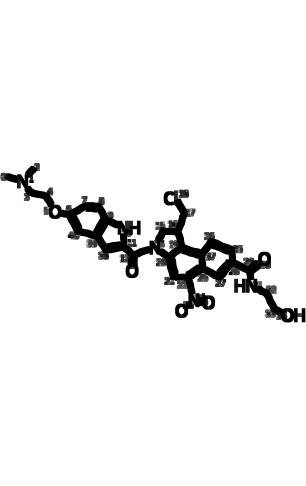 CN(C)CCOc1ccc2[nH]c(C(=O)N3CC(CCl)c4c3cc([N+](=O)[O-])c3cc(C(=O)NCCO)ccc43)cc2c1